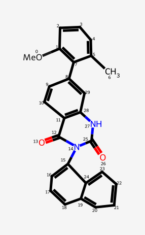 COc1cccc(C)c1-c1ccc2c(=O)n(-c3cccc4ccccc34)c(=O)[nH]c2c1